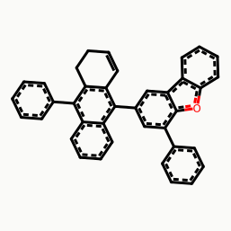 C1=Cc2c(c(-c3ccccc3)c3ccccc3c2-c2cc(-c3ccccc3)c3oc4ccccc4c3c2)CC1